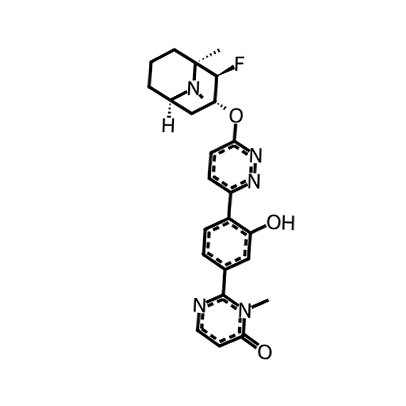 CN1[C@@H]2CCC[C@@]1(C)[C@@H](F)[C@H](Oc1ccc(-c3ccc(-c4nccc(=O)n4C)cc3O)nn1)C2